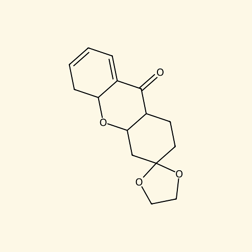 O=C1C2=CC=CCC2OC2CC3(CCC12)OCCO3